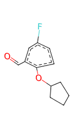 O=Cc1cc(F)ccc1OC1CCCC1